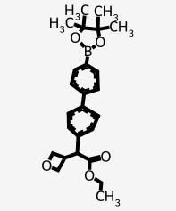 CCOC(=O)C(c1ccc(-c2ccc(B3OC(C)(C)C(C)(C)O3)cc2)cc1)C1COC1